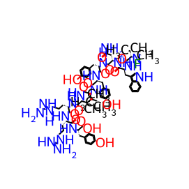 CC[C@H](C)[C@H](NC(=O)[C@H](Cc1ccc(O)cc1)NC(=O)[C@H](Cc1ccc(O)cc1)NC(=O)[C@H](CC(N)=O)NC(=O)[C@H](Cc1c[nH]c2ccccc12)NC(=O)[C@H](C(C)C)N(C)F)C(=O)N[C@H](C(=O)N[C@@H](CCCNC(=N)N)C(=O)N[C@@H](CCCNC(=N)N)C(=O)N[C@@H](Cc1ccc(O)cc1)C(=O)O)[C@@H](C)CC